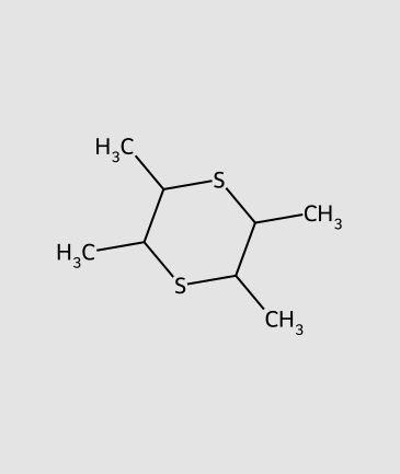 CC1SC(C)C(C)SC1C